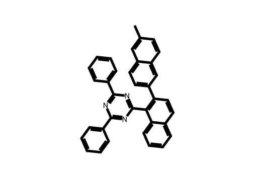 Cc1ccc2cc(-c3ccc4ccccc4c3-c3nc(-c4ccccc4)nc(-c4ccccc4)n3)ccc2c1